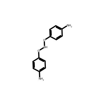 Nc1ccc(OBOc2ccc(N)cc2)cc1